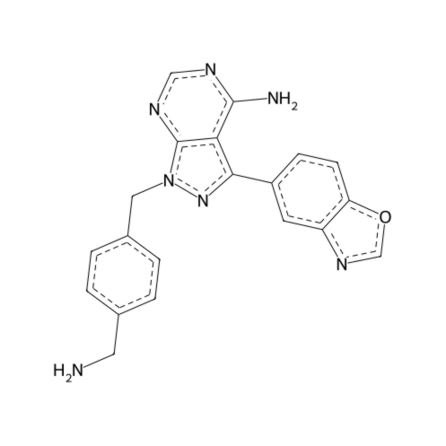 NCc1ccc(Cn2nc(-c3ccc4ocnc4c3)c3c(N)ncnc32)cc1